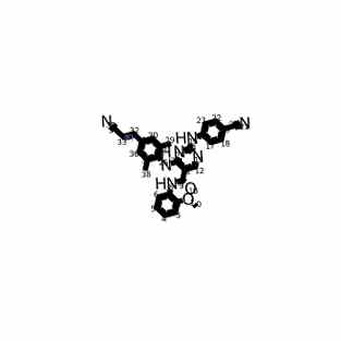 COc1ccccc1NC(=O)c1cnc(Nc2ccc(C#N)cc2)nc1Nc1c(C)cc(/C=C/C#N)cc1C